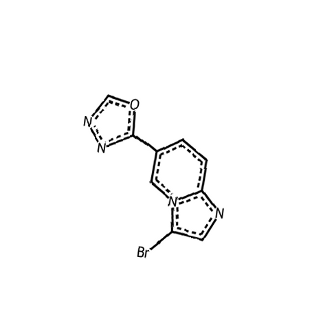 Brc1cnc2ccc(-c3nnco3)cn12